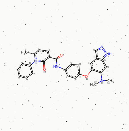 Cc1ccc(C(=O)Nc2ccc(Oc3cc4cn[nH]c4cc3N(C)C)cc2)c(=O)n1-c1ccccc1